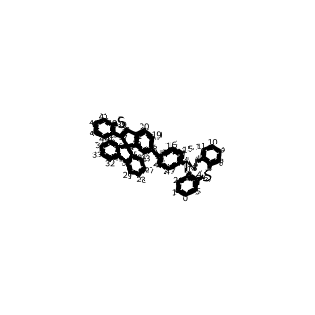 c1ccc2c(c1)Sc1ccccc1N2c1ccc(-c2ccc3c(c2)C2(c4ccccc4-c4ccccc42)c2c-3sc3ccccc23)cc1